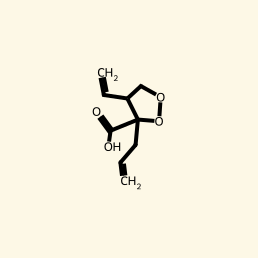 C=CCC1(C(=O)O)OOCC1C=C